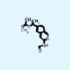 C=C(S/C(C)=N\C)c1ccc2cnc(NC=O)cc2c1